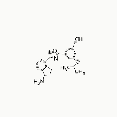 C#Cc1cc(OC(C)C)cc(-c2nc(-c3cccc4c3CC[C@H]4N)no2)c1